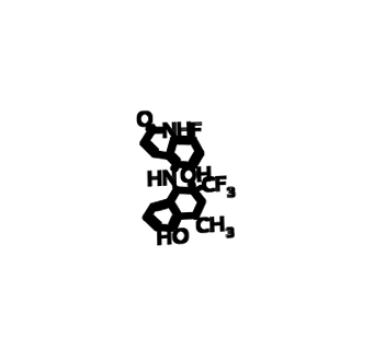 C[C@@H]1C[C@](O)(C(F)(F)F)[C@@H](Nc2ccc(F)c3[nH]c(=O)ccc23)c2cccc(O)c21